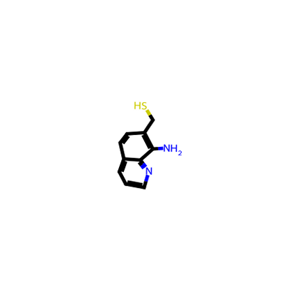 Nc1c(CS)ccc2cccnc12